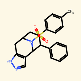 O=S(=O)(c1ccc(C(F)(F)F)cc1)N1C2CCC(c3ccccc3)C1c1cn[nH]c1C2